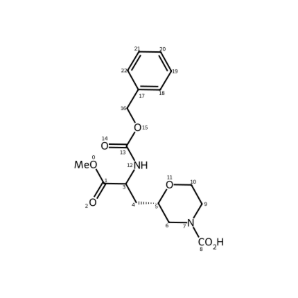 COC(=O)C(C[C@H]1CN(C(=O)O)CCO1)NC(=O)OCc1ccccc1